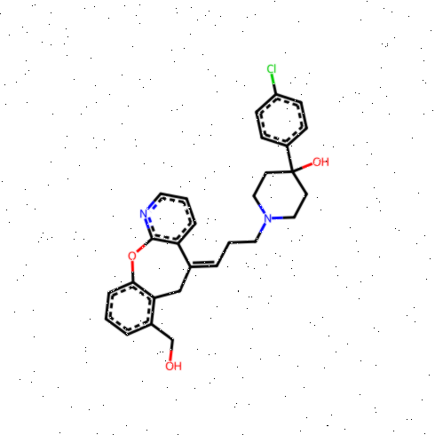 OCc1cccc2c1C/C(=C/CCN1CCC(O)(c3ccc(Cl)cc3)CC1)c1cccnc1O2